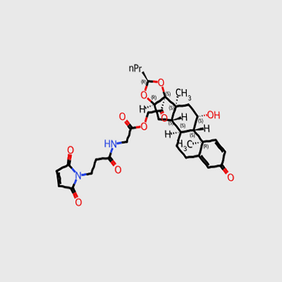 CCC[C@@H]1O[C@@H]2C[C@H]3[C@@H]4CCC5=CC(=O)C=C[C@]5(C)[C@H]4[C@@H](O)C[C@]3(C)[C@]2(C(=O)COC(=O)CNC(=O)CCN2C(=O)C=CC2=O)O1